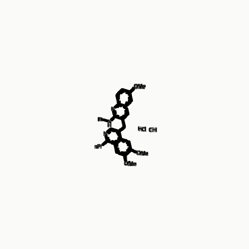 CCCc1ncc(Cc2cc3cc(OC)ccc3nc2NCC)c2cc(OC)c(OC)cc12.Cl.Cl